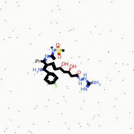 C=C(\N=C(C(/C=C/[C@H](O)C[C@@H](O)CC(=O)NNC(=N)N)=C(\N)c1ccc(F)cc1)\C(C)C)N(C)S(C)(=O)=O